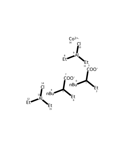 CCCCC(CC)C(=O)[O-].CCCCC(CC)C(=O)[O-].C[CH2][Al]([Cl])[CH2]C.C[CH2][Al]([Cl])[CH2]C.[Co+2]